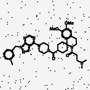 COc1cc2c(cc1OC)[C@]1(CC[C@H](C(=O)N3CCN(c4ncnc5c4cnn5Cc4cccc(C)c4)CC3)CC1)N(C(=O)CCN(C)C)CC2